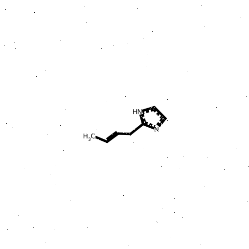 C/C=C/[CH]c1ncc[nH]1